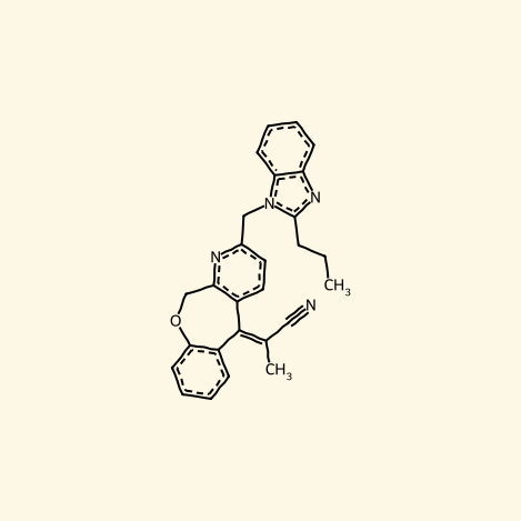 CCCc1nc2ccccc2n1Cc1ccc2c(n1)COc1ccccc1C2=C(C)C#N